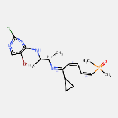 CC(Nc1nc(Cl)ncc1Br)[C@H](C)\N=C(/C=C\C=C/P(C)(C)=O)C1CC1